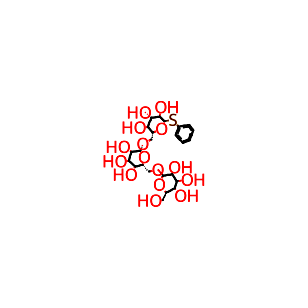 OC[C@H]1O[C@@H](OC[C@H]2O[C@@H](OC[C@H]3O[C@H](Sc4ccccc4)[C@H](O)[C@@H](O)[C@@H]3O)[C@H](O)[C@@H](O)[C@@H]2O)[C@H](O)[C@@H](O)[C@@H]1O